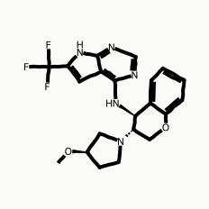 CO[C@@H]1CCN([C@H]2COc3ccccc3[C@@H]2Nc2ncnc3[nH]c(C(F)(F)F)cc23)C1